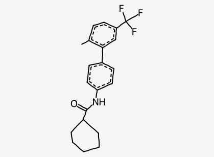 Cc1ccc(C(F)(F)F)cc1-c1ccc(NC(=O)C2CCCCC2)cc1